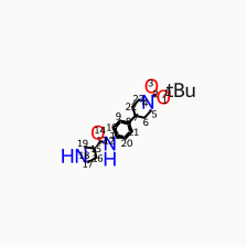 CC(C)(C)OC(=O)N1CCC(c2ccc(NC(=O)[C@H]3CCNC3)cc2)CC1